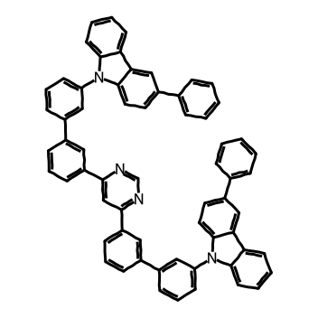 c1ccc(-c2ccc3c(c2)c2ccccc2n3-c2cccc(-c3cccc(-c4cc(-c5cccc(-c6cccc(-n7c8ccccc8c8cc(-c9ccccc9)ccc87)c6)c5)ncn4)c3)c2)cc1